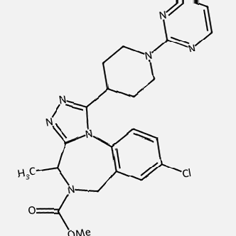 COC(=O)N1Cc2cc(Cl)ccc2-n2c(C3CCN(c4ncccn4)CC3)nnc2C1C